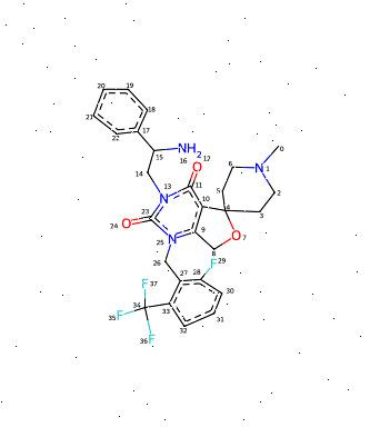 CN1CCC2(CC1)OCc1c2c(=O)n(CC(N)c2ccccc2)c(=O)n1Cc1c(F)cccc1C(F)(F)F